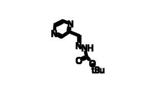 CC(C)(C)OC(=O)N/N=C/c1cnccn1